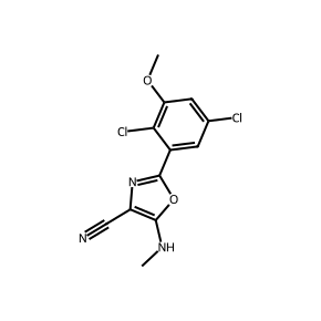 CNc1oc(-c2cc(Cl)cc(OC)c2Cl)nc1C#N